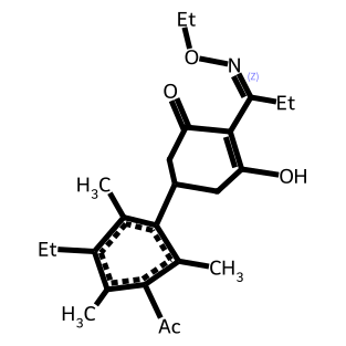 CCO/N=C(/CC)C1=C(O)CC(c2c(C)c(CC)c(C)c(C(C)=O)c2C)CC1=O